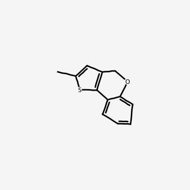 Cc1cc2c(s1)-c1ccccc1OC2